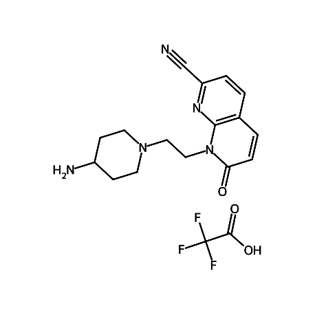 N#Cc1ccc2ccc(=O)n(CCN3CCC(N)CC3)c2n1.O=C(O)C(F)(F)F